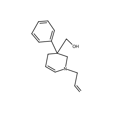 C=CCN1C=CCC(CO)(c2ccccc2)C1